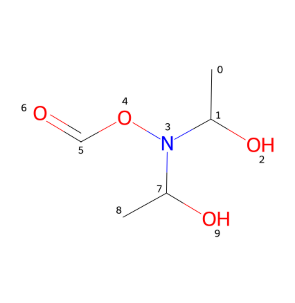 CC(O)N(OC=O)C(C)O